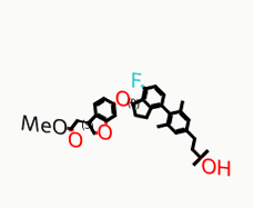 COC(=O)C[C@@H]1COc2cc(O[C@@H]3CCc4c(-c5c(C)cc(CCC(C)(C)O)cc5C)ccc(F)c43)ccc21